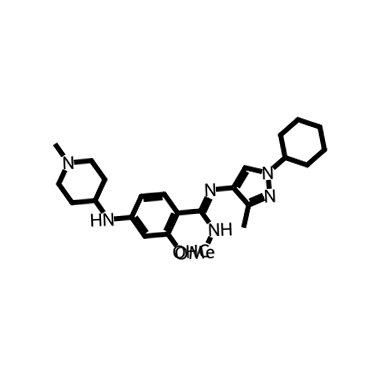 COc1cc(NC2CCN(C)CC2)ccc1/C(=N/c1cn(C2CCCCC2)nc1C)NC=O